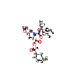 CO[C@@H]1C[C@@H](C(=O)OCC(=O)c2cccc(F)c2)N(C(=O)OC(C)(C)C)C1